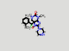 CN1CC2(C(Cl)c3ccccc3[N+](=O)[O-])C(=NC(N3CCNCC3)=[N+]2[O-])N(C)C1=O